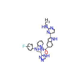 CNc1nccc(-c2cc3cc(C(=O)NC(CN(c4ccc(F)cc4)c4ccccn4)c4nnc[nH]4)ccc3[nH]2)n1